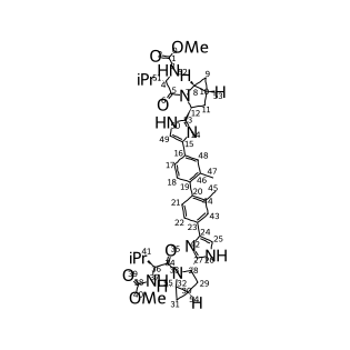 COC(=O)N[C@H](C(=O)N1[C@@H]2C[C@@H]2C[C@H]1c1nc(-c2ccc(-c3ccc(-c4c[nH]c([C@@H]5C[C@H]6C[C@H]6N5C(=O)[C@@H](NC(=O)OC)C(C)C)n4)cc3C)c(C)c2)c[nH]1)C(C)C